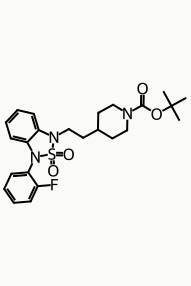 CC(C)(C)OC(=O)N1CCC(CCN2c3ccccc3N(c3ccccc3F)S2(=O)=O)CC1